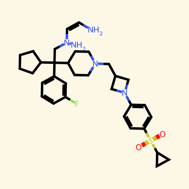 N/C=C\N(N)CC(c1cccc(F)c1)(C1CCCC1)C1CCN(CC2CN(c3ccc(S(=O)(=O)C4CC4)cc3)C2)CC1